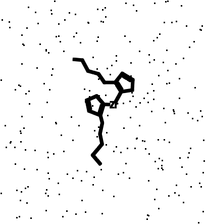 CCCCCC1=[C]([Zr][C]2=C(CCCCC)C=CC2)CC=C1